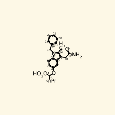 CCCC(Oc1ccc2c(c1)c(CC(N)=O)c(C)n2Cc1ccccc1)C(=O)O